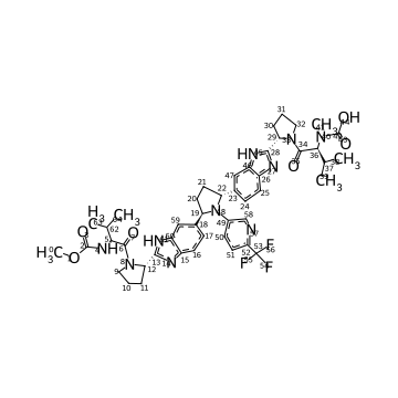 COC(=O)N[C@H](C(=O)N1CCC[C@H]1c1nc2ccc([C@H]3CC[C@H](c4ccc5nc([C@@H]6CCCN6C(=O)[C@H](C(C)C)N(C)C(=O)O)[nH]c5c4)N3c3ccc(C(F)(F)F)nc3)cc2[nH]1)C(C)C